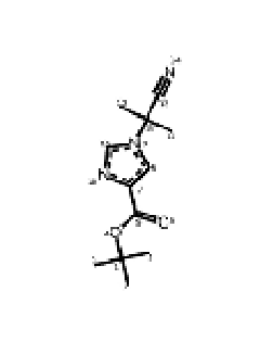 CC(C)(C)OC(=O)c1cn(C(C)(C)C#N)cn1